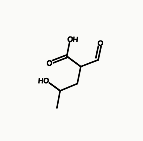 CC(O)CC(C=O)C(=O)O